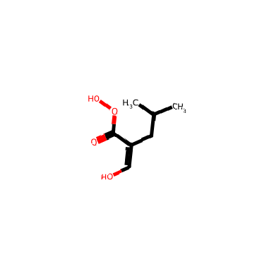 CC(C)CC(=CO)C(=O)OO